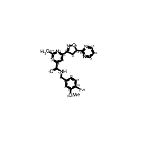 COc1cc(CNC(=O)c2cc(C3=NOC(c4ncccn4)C3)nc(C)n2)ccc1F